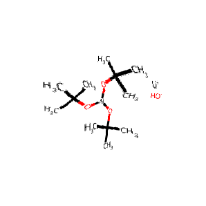 CC(C)(C)[O][Al]([O]C(C)(C)C)[O]C(C)(C)C.[Li+].[OH-]